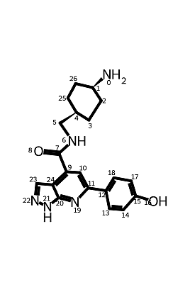 N[C@H]1CC[C@@H](CNC(=O)c2cc(-c3ccc(O)cc3)nc3[nH]ncc23)CC1